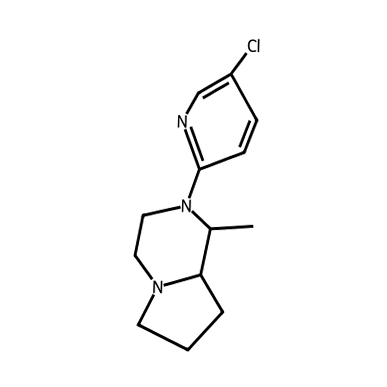 CC1C2CCCN2CCN1c1ccc(Cl)cn1